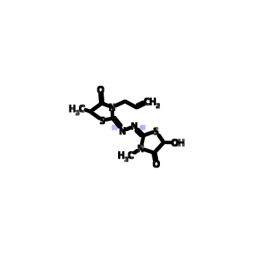 C=CCN1C(=O)C(C)S/C1=N/N=C1/SC(O)C(=O)N1C